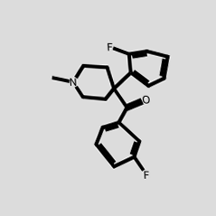 CN1CCC(C(=O)c2cccc(F)c2)(c2ccccc2F)CC1